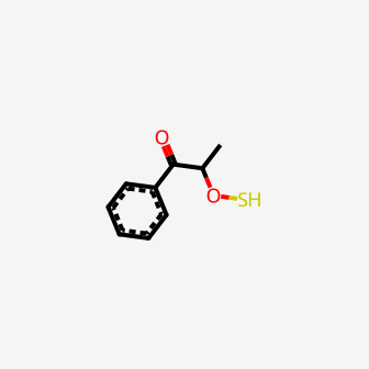 CC(OS)C(=O)c1ccccc1